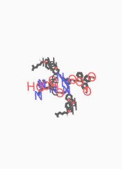 COc1ccc(C(OCCOc2cc3nc(c2)CN(C[C@H]2CC[C@@]4(C)C(=CC[C@H]5[C@@H]6CC[C@@H]([C@H](C)CCCC(C)C)[C@@]6(C)CC[C@@H]54)C2)CCOCCN(CCCP(O)(O)(CCC#N)N(C(C)C)C(C)C)CCOCCN(C[C@@H]2CC[C@]4(C)C(=CC[C@@H]5[C@H]6CC[C@H]([C@@H](C)CCCC(C)C)[C@]6(C)CC[C@H]54)C2)C3)(c2ccccc2)c2ccc(OC)cc2)cc1